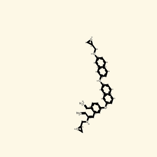 C=C/C(=C\c1cc(Oc2ccc3ccc(Oc4ccc5ccc(OCC6CO6)cc5c4)cc3c2)ccc1C=C)OCC1CO1